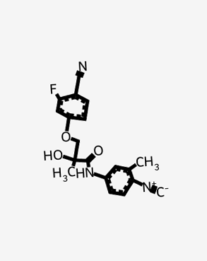 [C-]#[N+]c1ccc(NC(=O)C(C)(O)COc2ccc(C#N)c(F)c2)cc1C